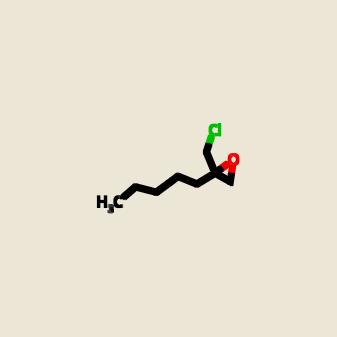 CCCCCC1(CCl)CO1